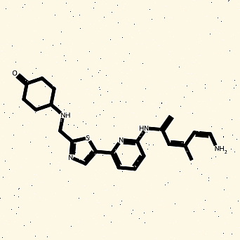 C=C(/C=C(C)\C=C/N)Nc1cccc(-c2cnc(CNC3CCC(=O)CC3)s2)n1